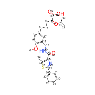 COc1ccc(CCCC(OC(C)C)C(=O)O)cc1CNC(=O)c1nc(-c2ccccc2)sc1C